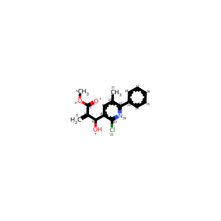 C=C(C(=O)OC)C(O)c1cc(C)c(-c2ccccc2)nc1Cl